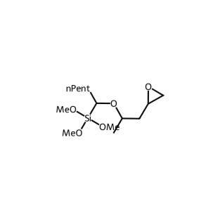 CCCCCC(OC(C)CC1CO1)[Si](OC)(OC)OC